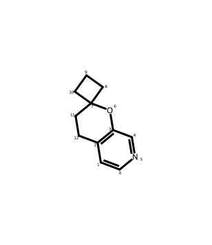 c1cc2c(cn1)OC1(CCC1)CC2